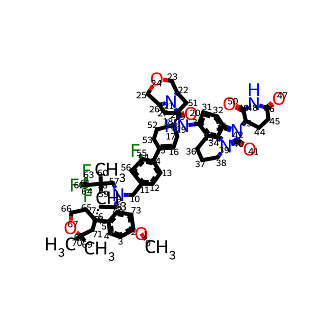 COc1ccc([C@]2(CCN(Cc3ccc(C4=CC[C@H](C(=O)N5C6COCC5CC(Nc5ccc7c8c5CCCn8c(=O)n7C5CCC(=O)NC5=O)C6)CC4)c(F)c3)CC(C)(C)C(F)(F)F)CCOC(C)(C)C2)cc1